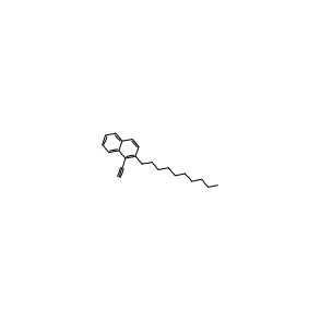 C#Cc1c(CCCCCCCCCC)ccc2ccccc12